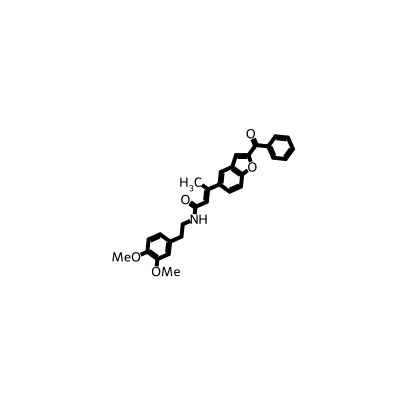 COc1ccc(CCNC(=O)/C=C(\C)c2ccc3oc(C(=O)c4ccccc4)cc3c2)cc1OC